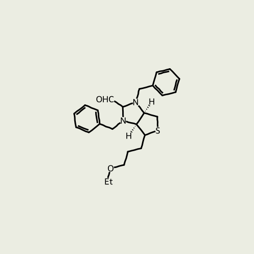 CCOCCCC1SC[C@H]2[C@@H]1N(Cc1ccccc1)C(C=O)N2Cc1ccccc1